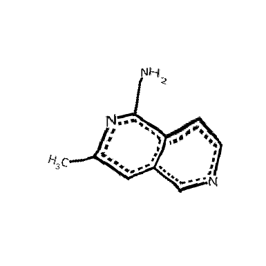 Cc1cc2cnccc2c(N)n1